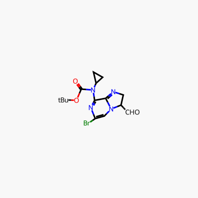 CC(C)(C)OC(=O)N(C1=NC(Br)=CN2C1=NCC2C=O)C1CC1